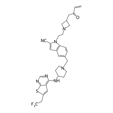 C=CC(=O)CC1CN(CCn2c(C#N)cc3cc(CN4CCC(Nc5ncnc6sc(CC(F)(F)F)cc56)CC4)ccc32)C1